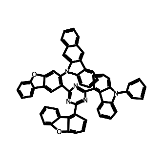 c1ccc(-n2c3ccccc3c3c(-c4nc(-c5cc6c(cc5-n5c7ccccc7c7cc8ccccc8cc75)oc5ccccc56)nc(-c5cccc6oc7ccccc7c56)n4)cccc32)cc1